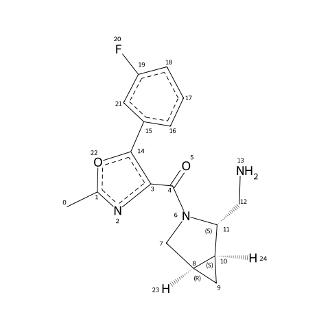 Cc1nc(C(=O)N2C[C@@H]3C[C@@H]3[C@H]2CN)c(-c2cccc(F)c2)o1